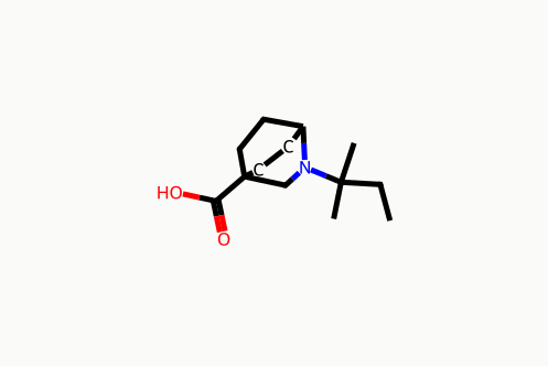 CCC(C)(C)N1CC2(C(=O)O)CCC1CC2